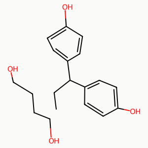 CCC(c1ccc(O)cc1)c1ccc(O)cc1.OCCCCO